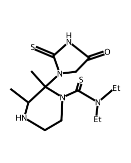 CCN(CC)C(=S)N1CCNC(C)C1(C)N1CC(=O)NC1=S